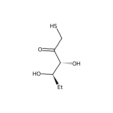 CC[C@@H](O)[C@@H](O)C(=O)CS